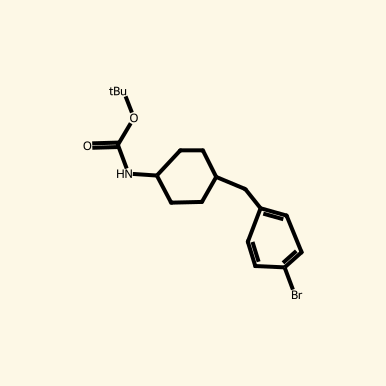 CC(C)(C)OC(=O)NC1CCC(Cc2ccc(Br)cc2)CC1